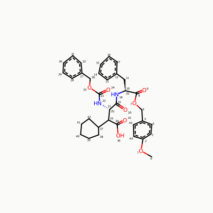 COc1ccc(COC(=O)[C@H](Cc2ccccc2)NC(=O)[C@@H](NC(=O)OCc2ccccc2)C(C(=O)O)C2CCCCC2)cc1